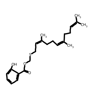 CC(C)=CCCC(C)=CCCC(C)=CCSCOC(=O)c1ccccc1O